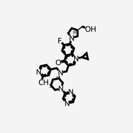 Cc1cc(CN(Cc2cn(C3CC3)c3cc(N4CC[C@@H](CO)C4)c(F)cc3c2=O)[C@H]2CCCN(c3cnccn3)C2)ccn1